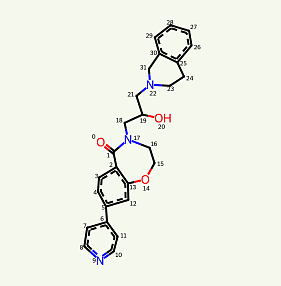 O=C1c2ccc(-c3ccncc3)cc2OCCN1CC(O)CN1CCc2ccccc2C1